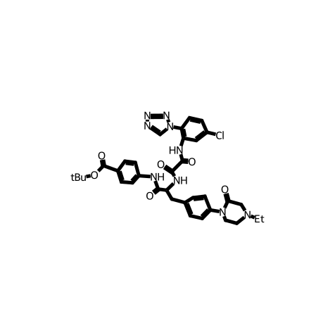 CCN1CCN(c2ccc(CC(NC(=O)C(=O)Nc3cc(Cl)ccc3-n3cnnn3)C(=O)Nc3ccc(C(=O)OC(C)(C)C)cc3)cc2)C(=O)C1